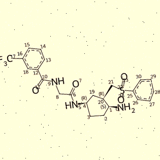 N[C@H]1CC[C@@H](NC(=O)CNC(=O)c2cccc(C(F)(F)F)c2)C[C@H]1CS(=O)(=O)c1ccccc1